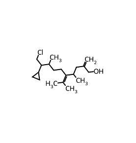 C=C(CO)CC(C)C(CCC(C)C(CCl)C1CC1)=C(C)C